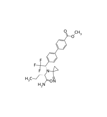 CCC[C@@H](C(N)=O)N([C@@H](c1ccc(-c2ccc(C(=O)OC)cc2)cc1)C(F)(F)F)C1(C#N)CC1